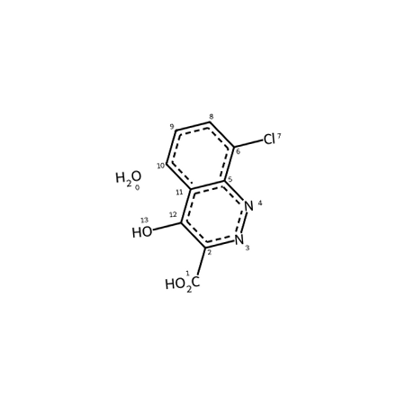 O.O=C(O)c1nnc2c(Cl)cccc2c1O